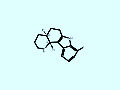 Clc1cccc2c3c([nH]c12)CC[C@@H]1CCCN[C@@H]31